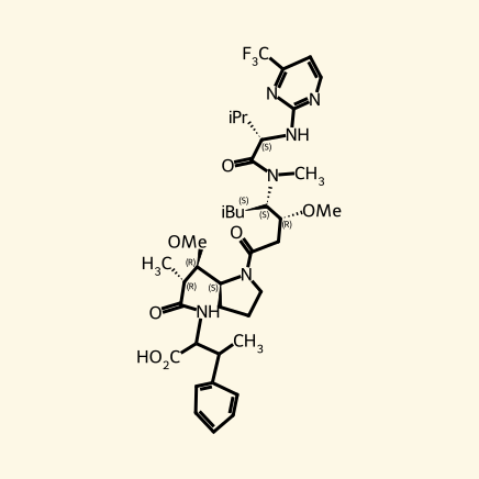 CC[C@H](C)[C@@H]([C@@H](CC(=O)N1CCC[C@H]1[C@H](OC)[C@@H](C)C(=O)NC(C(=O)O)C(C)c1ccccc1)OC)N(C)C(=O)[C@@H](Nc1nccc(C(F)(F)F)n1)C(C)C